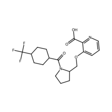 O=C(O)c1ncccc1OCC1CCCN1C(=O)C1CCC(C(F)(F)F)CC1